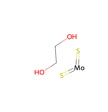 OCCO.[S]=[Mo]=[S]